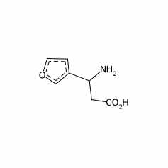 NC(CC(=O)O)c1ccoc1